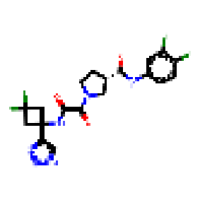 O=C(NC1(c2c[nH]nn2)CC(F)(F)C1)C(=O)N1CC[C@H](C(=O)Nc2ccc(F)c(Cl)c2)C1